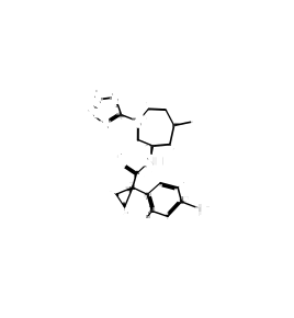 CC1CCN(c2nnn[nH]2)CC(NC(=O)C2(c3ccc(C(C)C)cc3O)CC2)C1